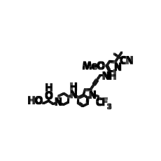 COc1cc(C(C)(C)C#N)ncc1NCC#Cc1cc2c(NC3CCN(CC(O)CO)CC3)cccc2n1CC(F)(F)F